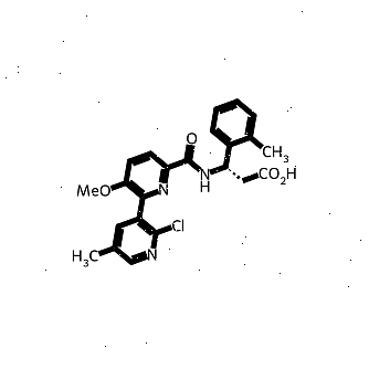 COc1ccc(C(=O)N[C@@H](CC(=O)O)c2ccccc2C)nc1-c1cc(C)cnc1Cl